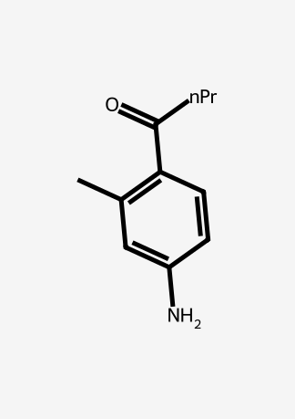 CCCC(=O)c1ccc(N)cc1C